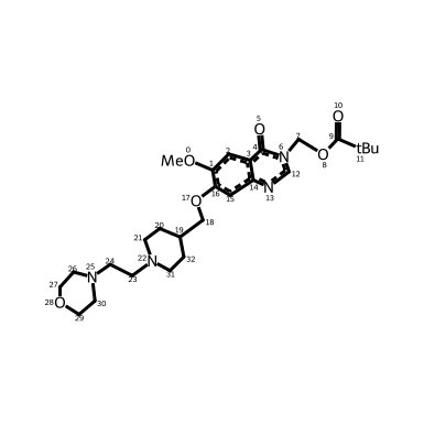 COc1cc2c(=O)n(COC(=O)C(C)(C)C)cnc2cc1OCC1CCN(CCN2CCOCC2)CC1